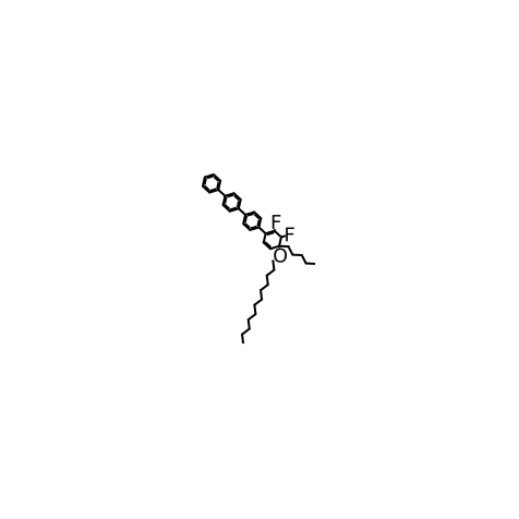 CCCCCCCCCCCCOC1(CCCCC)C=CC(c2ccc(-c3ccc(-c4ccccc4)cc3)cc2)=C(F)C1F